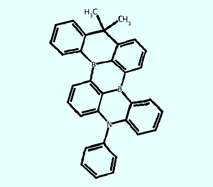 CC1(C)c2ccccc2B2c3cccc4c3B(c3ccccc3N4c3ccccc3)c3cccc1c32